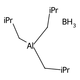 B.CC(C)[CH2][Al]([CH2]C(C)C)[CH2]C(C)C